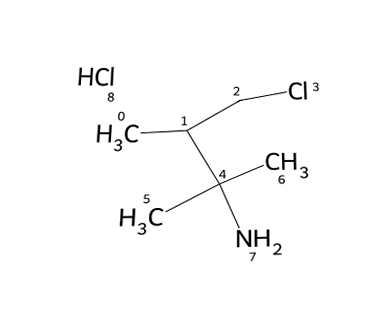 CC(CCl)C(C)(C)N.Cl